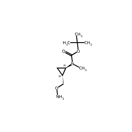 CN(C(=O)OC(C)(C)C)[C@@H]1C[C@H]1CON